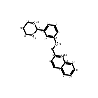 c1cc(OCc2ccc3ccccc3n2)cc(C2SCCCS2)c1